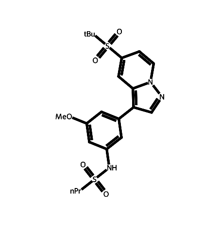 CCCS(=O)(=O)Nc1cc(OC)cc(-c2cnn3ccc(S(=O)(=O)C(C)(C)C)cc23)c1